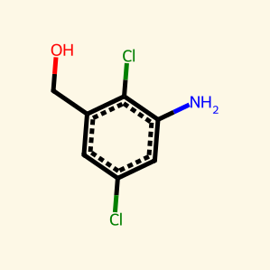 Nc1cc(Cl)cc(CO)c1Cl